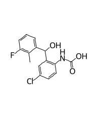 Cc1c(F)cccc1C(O)c1cc(Cl)ccc1NC(=O)O